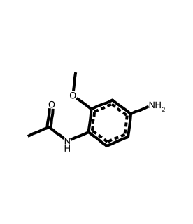 COc1cc(N)ccc1NC(C)=O